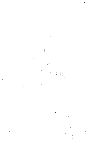 CC(=O)OC1Cc2ccc(F)cc2/C1=C/C(N)=O